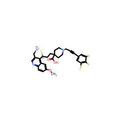 COc1ccc2ncc(CN)c([C@@H](F)CCC3(C(=O)O)CCN(CC#Cc4cc(F)c(F)c(F)c4)CC3)c2c1